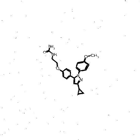 COc1ccc(-n2nc(C3CC3)cc2-c2ccc(OCCNC(N)=O)cc2)cc1